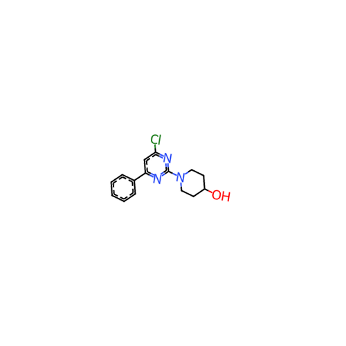 OC1CCN(c2nc(Cl)cc(-c3ccccc3)n2)CC1